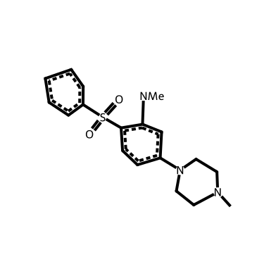 CNc1cc(N2CCN(C)CC2)ccc1S(=O)(=O)c1ccccc1